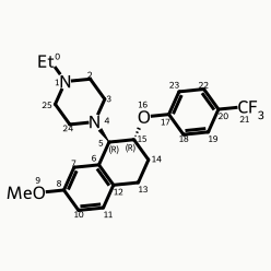 CCN1CCN([C@@H]2c3cc(OC)ccc3CC[C@H]2Oc2ccc(C(F)(F)F)cc2)CC1